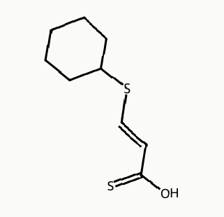 OC(=S)C=CSC1CCCCC1